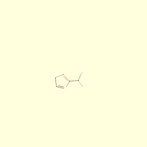 CCC(C1=CCC=N1)C(C)C